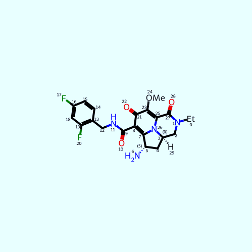 CCN1C[C@H]2C[C@H](N)c3c(C(=O)NCc4ccc(F)cc4F)c(=O)c(OC)c(n32)C1=O